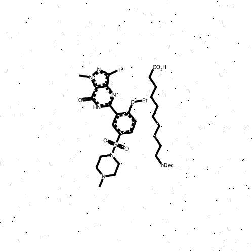 CCCCCCCCCCCCCCCCCCCC(=O)O.CCCc1nn(C)c2c(=O)[nH]c(-c3cc(S(=O)(=O)N4CCN(C)CC4)ccc3OCC)nc12